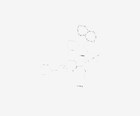 CCS(=O)(=O)C[C@@H](Cc1cccc2ccccc12)C(=O)N[C@@H](CCOC(C)=O)C(=O)N[C@@H](CC1CCCCC1)[C@@H](O)[C@@H](O)CN1CCOCC1